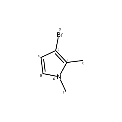 Cc1c(Br)ccn1C